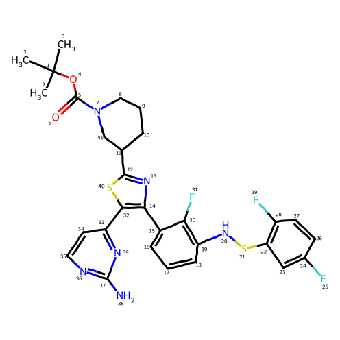 CC(C)(C)OC(=O)N1CCCC(c2nc(-c3cccc(NSc4cc(F)ccc4F)c3F)c(-c3ccnc(N)n3)s2)C1